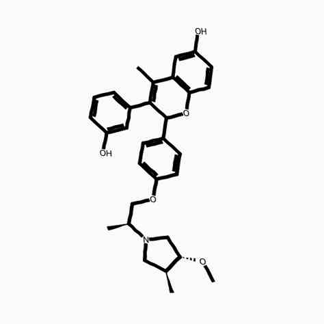 CO[C@H]1CN([C@@H](C)COc2ccc(C3Oc4ccc(O)cc4C(C)=C3c3cccc(O)c3)cc2)C[C@@H]1C